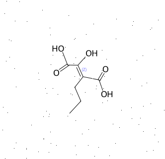 CCC/C(C(=O)O)=C(/O)C(=O)O